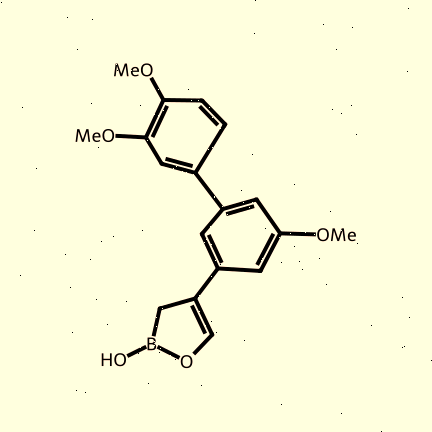 COc1cc(C2=COB(O)C2)cc(-c2ccc(OC)c(OC)c2)c1